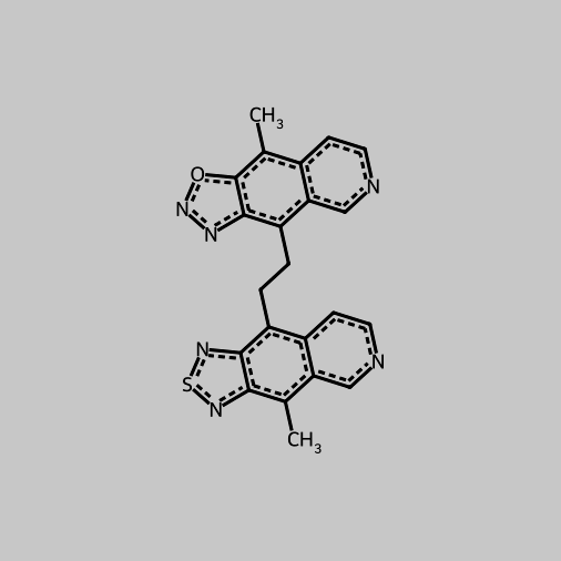 Cc1c2cnccc2c(CCc2c3cnccc3c(C)c3onnc23)c2nsnc12